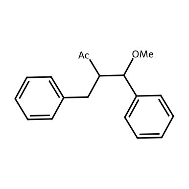 COC(c1ccccc1)C(Cc1ccccc1)C(C)=O